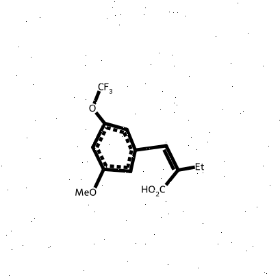 CCC(=Cc1cc(OC)cc(OC(F)(F)F)c1)C(=O)O